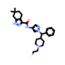 CC1(C)CCc2c(C(=O)Nc3cnn(C(c4ccccc4)C4CCN(CCF)CC4)c3)n[nH]c2C1